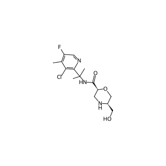 Cc1c(F)cnc(C(C)(C)NC(=O)[C@@H]2CN[C@H](CO)CO2)c1Cl